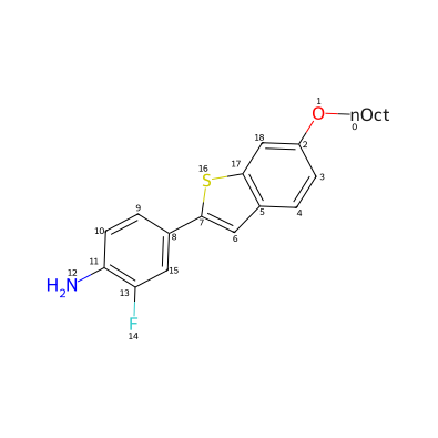 CCCCCCCCOc1ccc2cc(-c3ccc(N)c(F)c3)sc2c1